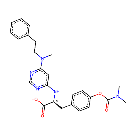 CN(C)C(=O)Oc1ccc(C[C@H](Nc2cc(N(C)CCc3ccccc3)ncn2)C(=O)O)cc1